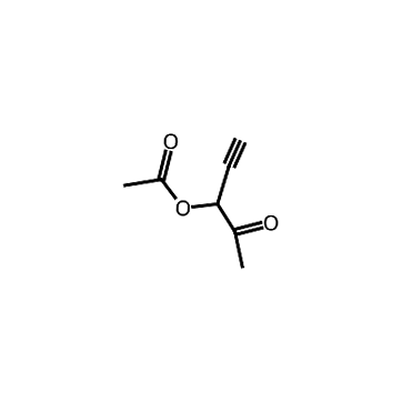 C#CC(OC(C)=O)C(C)=O